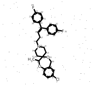 CC1Oc2ccc(Cl)cc2COC12CCN(CCC=C(c1ccc(F)cc1)c1ccc(F)cc1)CC2